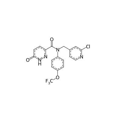 O=C(c1ccc(=O)[nH]n1)N(Cc1ccnc(Cl)c1)c1ccc(OC(F)(F)F)cc1